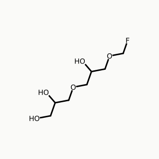 OCC(O)COCC(O)COCF